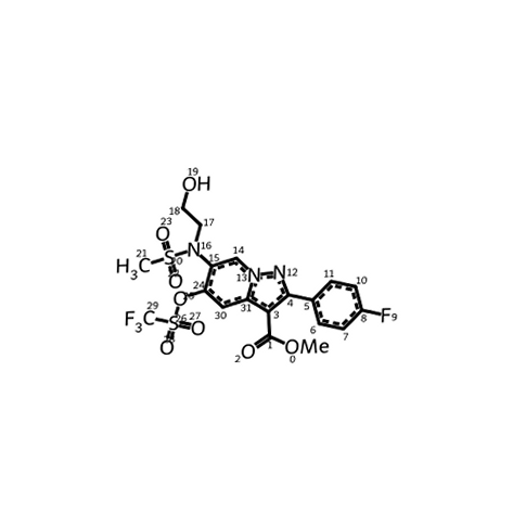 COC(=O)c1c(-c2ccc(F)cc2)nn2cc(N(CCO)S(C)(=O)=O)c(OS(=O)(=O)C(F)(F)F)cc12